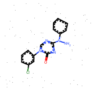 NN(c1ccccc1)c1ncn(-c2cccc(Cl)c2)c(=O)n1